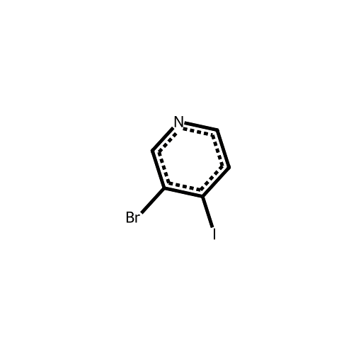 Brc1cnccc1I